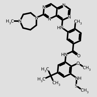 COc1c(NSC)cc(C(C)(C)C)cc1NC(=O)c1ccc(C)c(Nc2ncnc3cnc(N4CCCN(C)CC4)nc23)c1